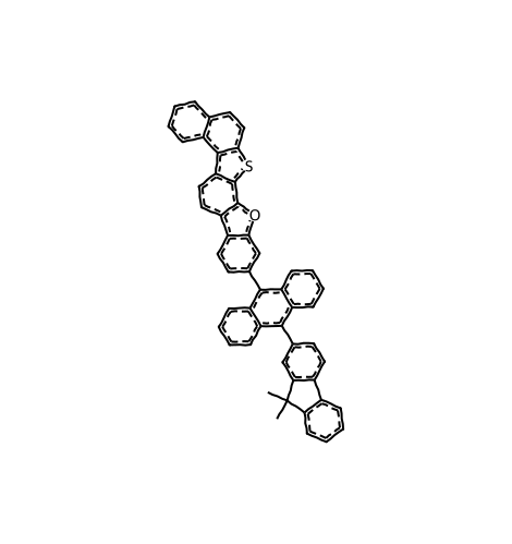 CC1(C)c2ccccc2-c2ccc(-c3c4ccccc4c(-c4ccc5c(c4)oc4c5ccc5c4sc4ccc6ccccc6c45)c4ccccc34)cc21